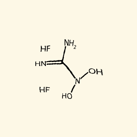 F.F.N=C(N)N(O)O